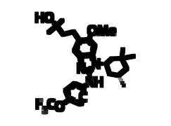 COc1cc2c(cc1CCC(C)(C)O)nc(Nc1ccc(OC(F)(F)F)cc1)n2[C@H]1C[C@@H](C)CC(C)(C)C1